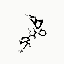 NC(=O)c1cncc(NC(=O)C(=O)N2CCCC[C@H]2c2ccc3sc(N)nc3c2)c1